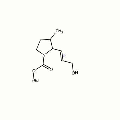 CC1CCN(C(=O)OC(C)(C)C)C1/C=C/CO